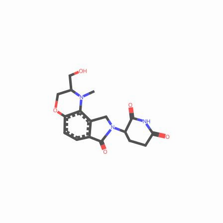 CN1c2c(ccc3c2CN(C2CCC(=O)NC2=O)C3=O)OCC1CO